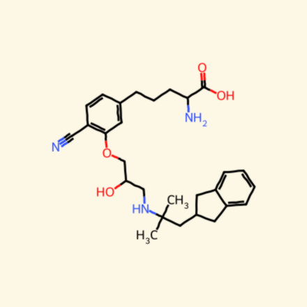 CC(C)(CC1Cc2ccccc2C1)NCC(O)COc1cc(CCCC(N)C(=O)O)ccc1C#N